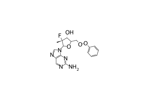 C[C@]1(F)C(n2cnc3cnc(N)nc32)OC(COOc2ccccc2)[C@H]1O